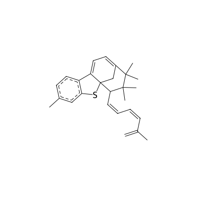 C=C(C)/C=C\C=C/C1C23CC(=CC=C2c2ccc(C)cc2S3)C(C)(C)C1(C)C